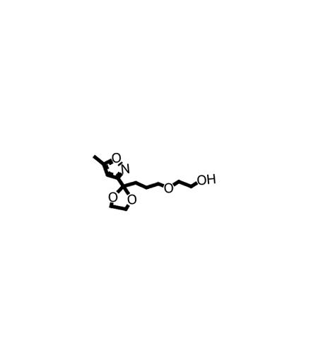 Cc1cc(C2(CCCOCCO)OCCO2)no1